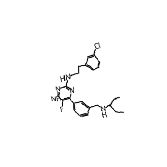 CCC(CC)NCc1cccc(-c2nc(NCCc3cccc(Cl)c3)ncc2F)c1.N